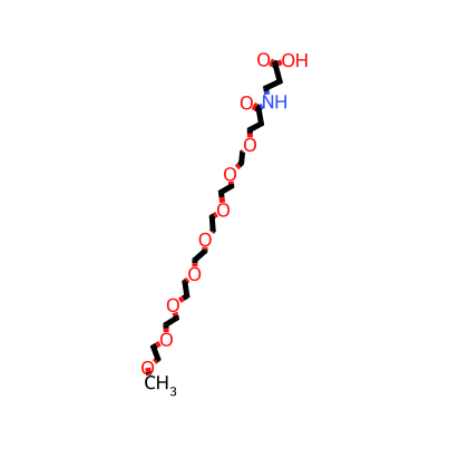 COCCOCCOCCOCCOCCOCCOCCOCCC(=O)NCCC(=O)O